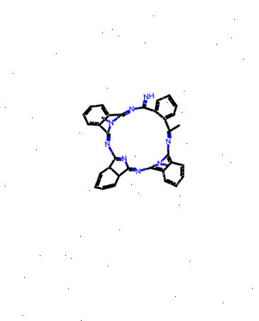 Cc1nc2c3ccccc3c(nc3nc(nc4c5ccccc5c(nc(=N)c5ccccc15)n4C)C1C=CC=CC31)n2C